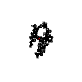 C=C[C@@H]1C[C@]1(NC(=O)[C@@H]1C[C@@H]2CN1C(=O)[C@H](C1CCCCC1)NC(=O)OCC(C)(C)CCCc1cc3c(cc(N(C)C(=O)CCC)nc3cc1OC)O2)C(=O)NS(=O)(=O)C1CC1